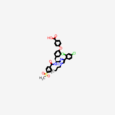 CCCCn1cc(-c2ccc(Cl)cc2Cl)nc1[C@H](Cc1ccc(Oc2ccc(C(=O)O)cc2)cc1)NC(=O)c1ccc(S(C)(=O)=O)cc1